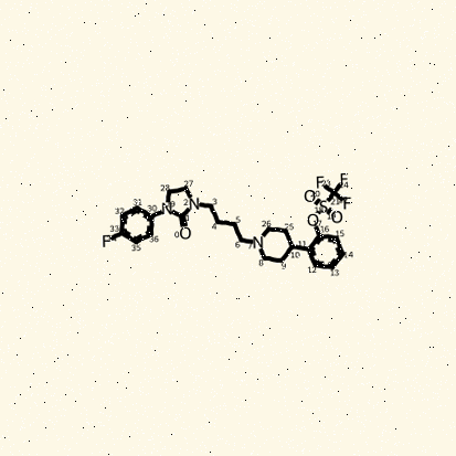 O=C1N(CCCCN2CCC(c3ccccc3OS(=O)(=O)C(F)(F)F)CC2)CCN1c1ccc(F)cc1